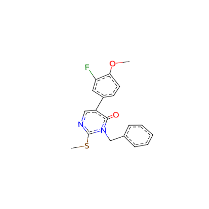 COc1ccc(-c2cnc(SC)n(Cc3ccccc3)c2=O)cc1F